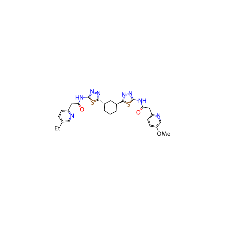 CCc1ccc(CC(=O)Nc2nnc([C@H]3CCC[C@H](c4nnc(NC(=O)Cc5ccc(OC)cn5)s4)C3)s2)nc1